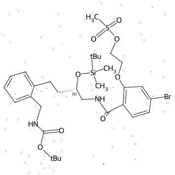 CC(C)(C)OC(=O)NCc1ccccc1CC[C@@H](CNC(=O)c1ccc(Br)cc1OCCOS(C)(=O)=O)O[Si](C)(C)C(C)(C)C